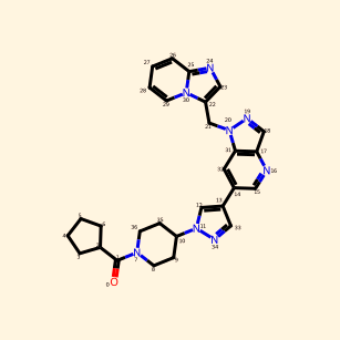 O=C(C1CCCC1)N1CCC(n2cc(-c3cnc4cnn(Cc5cnc6ccccn56)c4c3)cn2)CC1